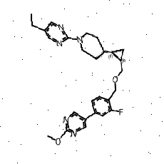 CCc1cnc(N2CCC([C@H]3C[C@H]3COCc3ccc(-c4cnc(OC)nc4)cc3F)CC2)nc1